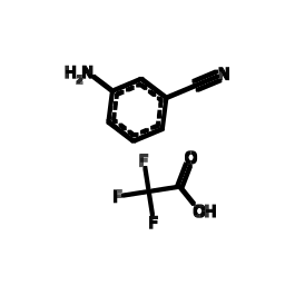 N#Cc1cccc(N)c1.O=C(O)C(F)(F)F